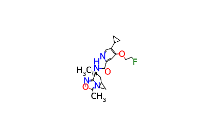 Cc1nc([C@](C)(CC2CC2)NC(=O)c2cc(OCCF)c(C3CC3)cn2)no1